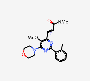 CNC(=O)/C=C/c1nc(-c2ccccc2C)nc(N2CCOCC2)c1OC